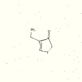 NCC1=CSCC1=O